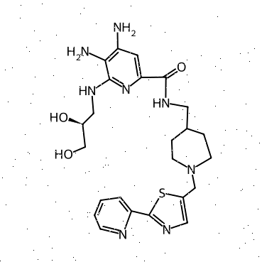 Nc1cc(C(=O)NCC2CCN(Cc3cnc(-c4ccccn4)s3)CC2)nc(NC[C@H](O)CO)c1N